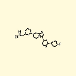 CCNCc1cccc(-c2ccn3c(-c4ccnc(-c5ccc(F)cc5)c4)cnc3c2)c1